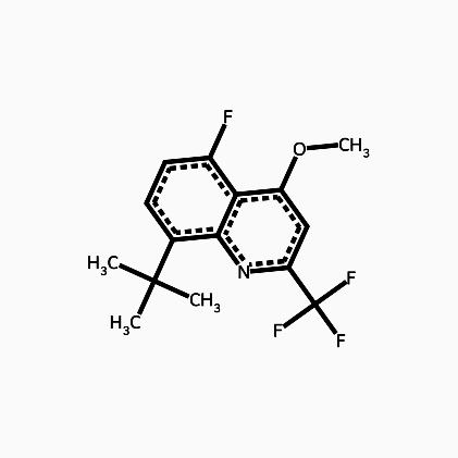 COc1cc(C(F)(F)F)nc2c(C(C)(C)C)ccc(F)c12